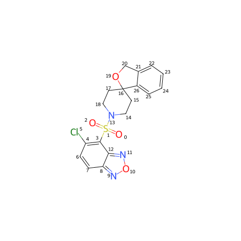 O=S(=O)(c1c(Cl)ccc2nonc12)N1CCC2(CC1)OCc1ccccc12